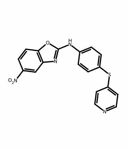 O=[N+]([O-])c1ccc2oc(Nc3ccc(Sc4ccncc4)cc3)nc2c1